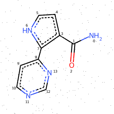 NC(=O)c1cc[nH]c1-c1ccncn1